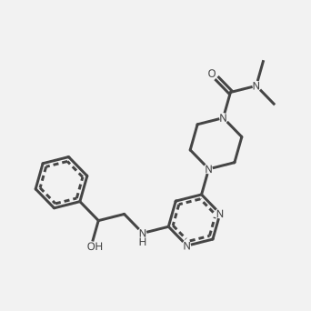 CN(C)C(=O)N1CCN(c2cc(NCC(O)c3ccccc3)ncn2)CC1